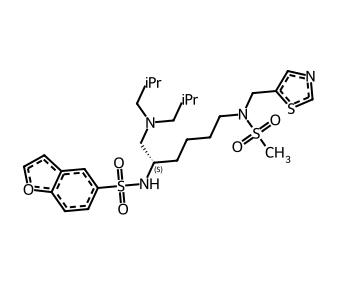 CC(C)CN(CC(C)C)C[C@H](CCCCN(Cc1cncs1)S(C)(=O)=O)NS(=O)(=O)c1ccc2occc2c1